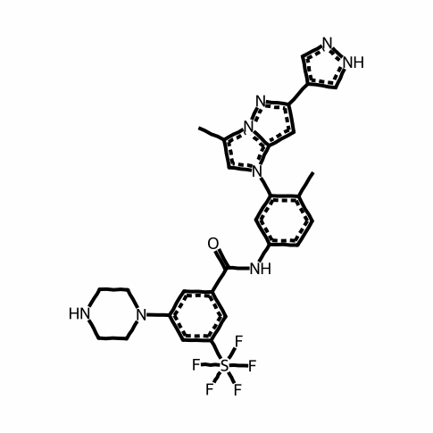 Cc1ccc(NC(=O)c2cc(N3CCNCC3)cc(S(F)(F)(F)(F)F)c2)cc1-n1cc(C)n2nc(-c3cn[nH]c3)cc12